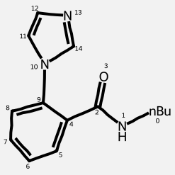 CCCCNC(=O)c1ccccc1-n1ccnc1